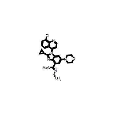 C=N/N=C(\NC)c1cc(N2CCOCC2)cc2c1nc(C1CC1)n2-c1ccnc2c(Cl)cccc12